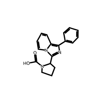 O=C(O)N1CCCC1c1nc(-c2ccccc2)c2ccccn12